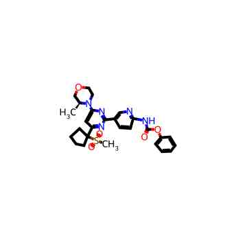 C[C@H]1COCCN1c1cc(C2(S(C)(=O)=O)CCCC2)nc(-c2ccc(NC(=O)Oc3ccccc3)nc2)n1